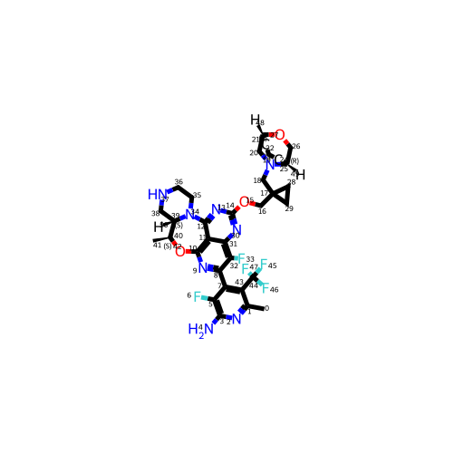 Cc1nc(N)c(F)c(-c2nc3c4c(nc(OCC5(CN6C[C@H]7CCC[C@@H]6CO7)CC5)nc4c2F)N2CCNC[C@H]2[C@H](C)O3)c1C(F)(F)F